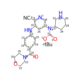 CC(C)(C)OC(=O)N(c1cnc(C#N)c(Nc2ccc(C(=O)N3CCOCC3)cc2)c1)C1CCCNC1